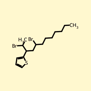 CCCCCCCC(Br)CC(c1cccs1)C(C)Br